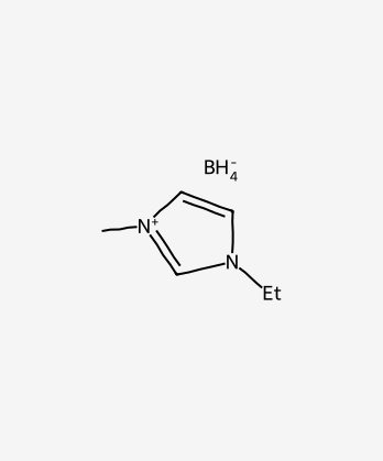 CCn1cc[n+](C)c1.[BH4-]